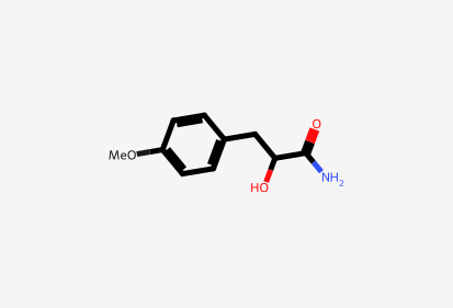 COc1ccc(CC(O)C(N)=O)cc1